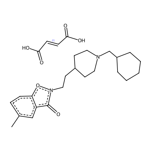 Cc1ccc2on(CCC3CCN(CC4CCCCC4)CC3)c(=O)c2c1.O=C(O)/C=C/C(=O)O